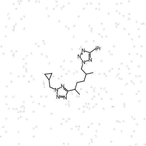 CC(CCC(C)c1nnn(CC2CC2)n1)Cn1nnc(C(C)C)n1